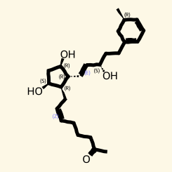 CC(=O)CCC/C=C\C[C@@H]1[C@@H](/C=C/[C@@H](O)CCC2=CC=C[C@H](C)C2)[C@H](O)C[C@@H]1O